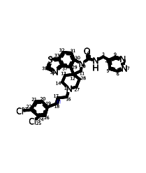 O=C(NCc1ccnnc1)N1CC2(CCN(C/C=C/c3ccc(Cl)c(Cl)c3)CC2)c2c1ccc1scnc21